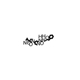 N#C[C@@]1(C2CC2)CCN(c2ccnc(NC(=O)NCc3cc4ccccc4o3)c2)C1=O